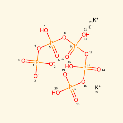 O=P([O-])([O-])OP(=O)(O)OP(=O)(O)OP(=O)(O)OP(=O)([O-])O.[K+].[K+].[K+]